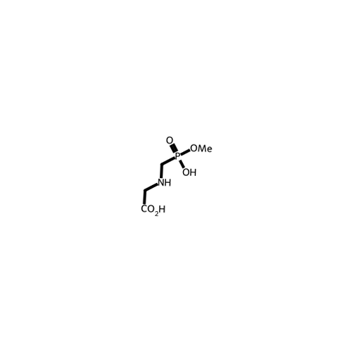 COP(=O)(O)CNCC(=O)O